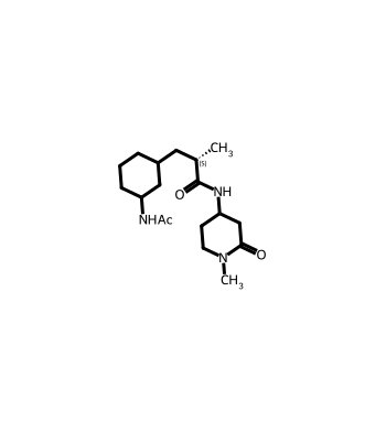 CC(=O)NC1CCCC(C[C@H](C)C(=O)NC2CCN(C)C(=O)C2)C1